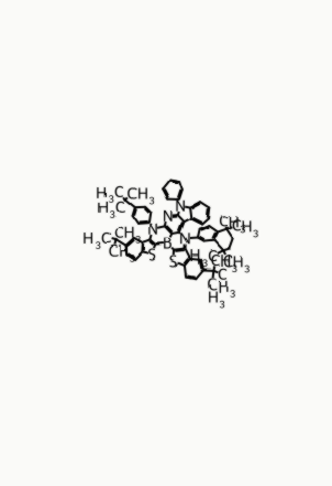 CC(C)(C)c1ccc(N2c3nc4c(c5c3B(c3sc6ccc(C(C)(C)C)cc6c32)c2sc3ccc(C(C)(C)C)cc3c2N5c2ccc3c(c2)C(C)(C)CCC3(C)C)c2ccccc2n4-c2ccccc2)cc1